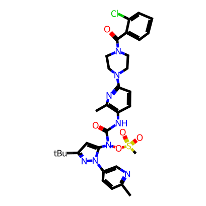 Cc1ccc(-n2nc(C(C)(C)C)cc2N(OS(C)(=O)=O)C(=O)Nc2ccc(N3CCN(C(=O)c4ccccc4Cl)CC3)nc2C)cn1